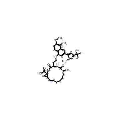 COc1ccc2c(OCCC3NC(=O)N(C)CCCC/C=C/C4CC4(C(=O)O)NC3=O)cc(-c3cc(C(F)(F)F)nn3C)nc2c1C